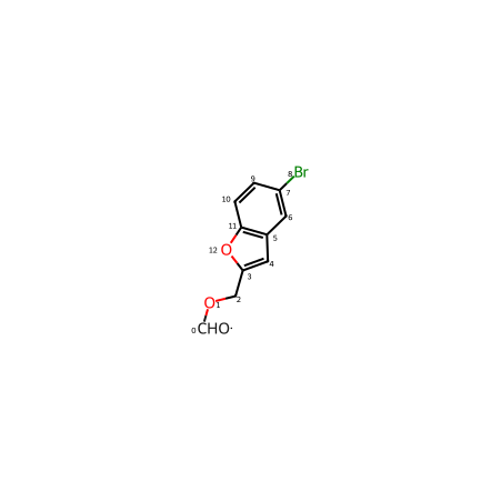 O=[C]OCc1cc2cc(Br)ccc2o1